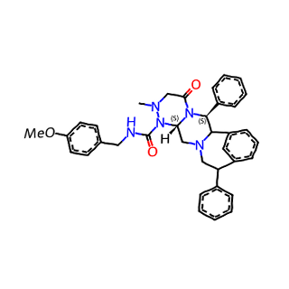 COc1ccc(CNC(=O)N2[C@H]3CN4CC(c5ccccc5)c5cccc(c5)C4[C@H](c4ccccc4)N3C(=O)CN2C)cc1